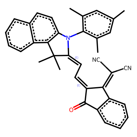 Cc1cc(C)c(N2/C(=C/C=C3/C(=O)c4ccccc4C3=C(C#N)C#N)C(C)(C)c3c2ccc2ccccc32)c(C)c1